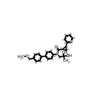 COCc1ccc(-c2ccc(N(CC(C)(C)O)C(=O)C3CC3c3ccccn3)cc2)cc1